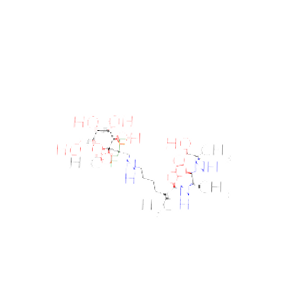 CO[C@@]1(C(F)(F)CNCCCC[C@H](C)C(=O)N[C@@H](C)C(=O)N[C@@H](C)C(=O)O)O[C@H](CO)[C@H](O)[C@H](O)[C@H]1O